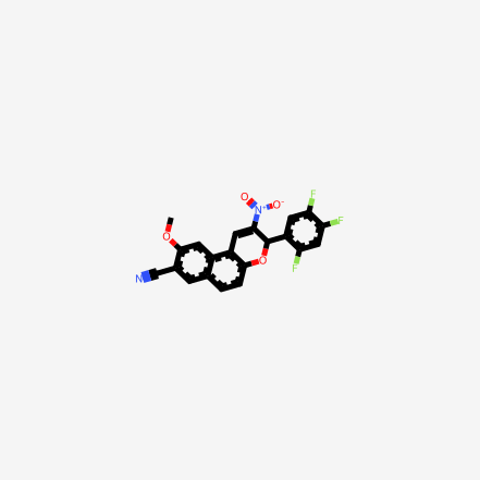 COc1cc2c3c(ccc2cc1C#N)OC(c1cc(F)c(F)cc1F)C([N+](=O)[O-])=C3